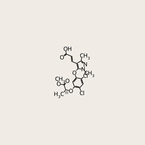 COC(=O)[C@H](C)Oc1cc(Oc2c(C=CC(=O)O)c(C)nn2C)c(Cl)cc1Cl